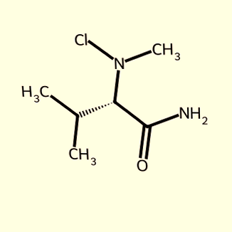 CC(C)[C@@H](C(N)=O)N(C)Cl